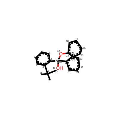 CC(C)(C)c1ccccc1[Si](O)(Oc1ccccc1)c1ccccc1